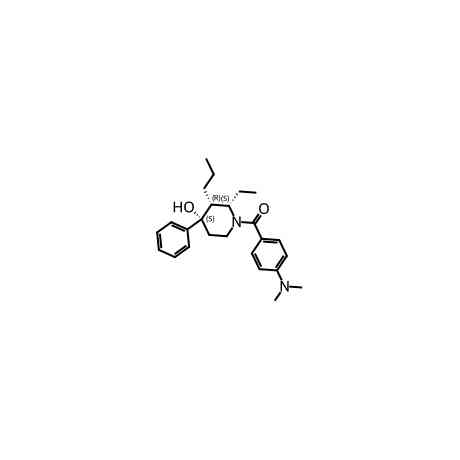 CCC[C@@H]1[C@H](CC)N(C(=O)c2ccc(N(C)C)cc2)CC[C@@]1(O)c1ccccc1